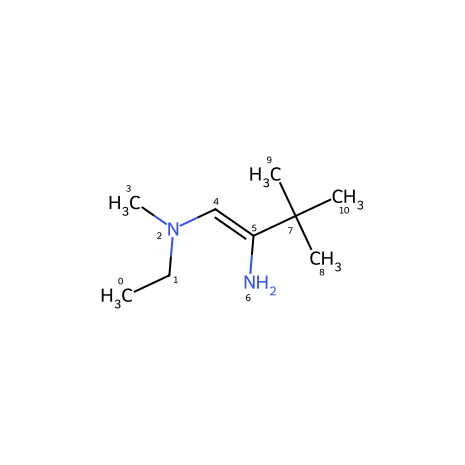 CCN(C)/C=C(\N)C(C)(C)C